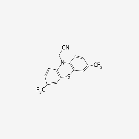 N#CCN1c2ccc(C(F)(F)F)cc2Sc2cc(C(F)(F)F)ccc21